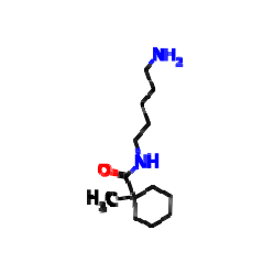 CC1(C(=O)NCCCCCN)CCCCC1